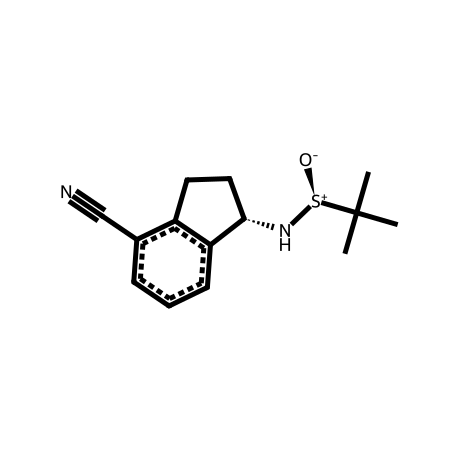 CC(C)(C)[S@+]([O-])N[C@H]1CCc2c(C#N)cccc21